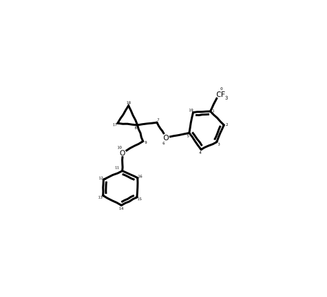 FC(F)(F)c1cccc(OCC2(COc3[c]cccc3)CC2)c1